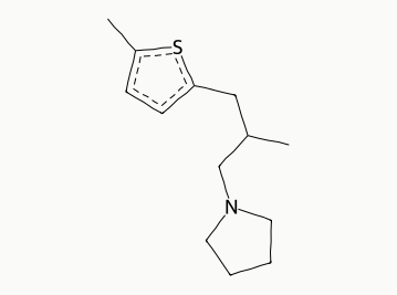 Cc1ccc(CC(C)CN2CCCC2)s1